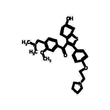 COc1cc(C(=O)c2c(-c3ccc(OCCN4CCCC4)cc3)sc3cc(O)ccc23)ccc1CN(C)C